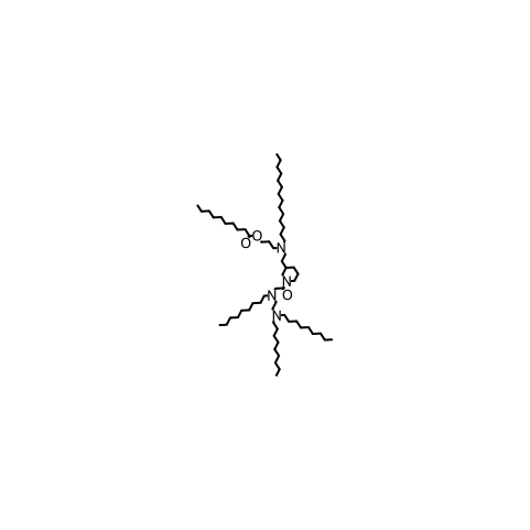 CCCCCCCCCCCCCCN(CCCOC(=O)CCCCCCCCC)CCC1CCCN(C(=O)CN(CCCCCCCCC)CCN(CCCCCCCCC)CCCCCCCCC)C1